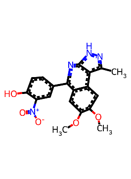 COc1cc2c(-c3ccc(O)c([N+](=O)[O-])c3)nc3[nH]nc(C)c3c2cc1OC